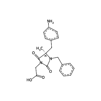 C[C@@]1(Cc2ccc(N)cc2)C(=O)N(CC(=O)O)C(=O)N1Cc1ccccc1